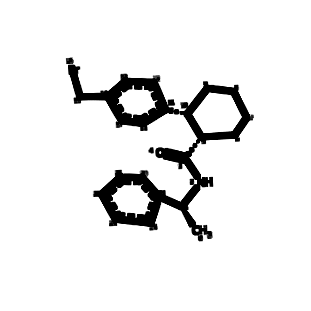 C[C@H](NC(=O)[C@H]1CCCC[C@H]1c1ccc(CBr)cc1)c1ccccc1